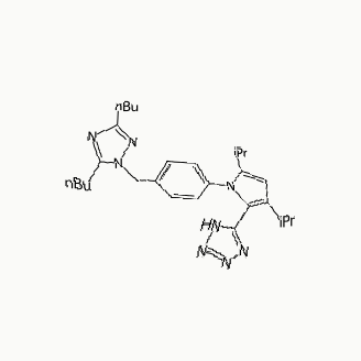 CCCCc1nc(CCCC)n(Cc2ccc(-n3c(C(C)C)cc(C(C)C)c3-c3nnn[nH]3)cc2)n1